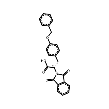 O=C(O)[C@H](Cc1ccc(OCc2ccccc2)cc1)N1C(=O)c2ccccc2C1=O